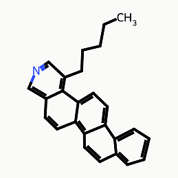 CCCCCc1cncc2ccc3c4ccc5ccccc5c4ccc3c12